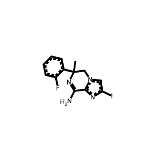 CC1(c2c[c]ccc2F)Cn2cc(I)nc2C(N)=N1